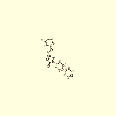 Cc1ccnc(OC[C@H]2CN(c3ccc(C4=CCOCC4)c(F)c3)C(=O)O2)c1